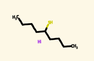 CCCCC(S)CCCC.I